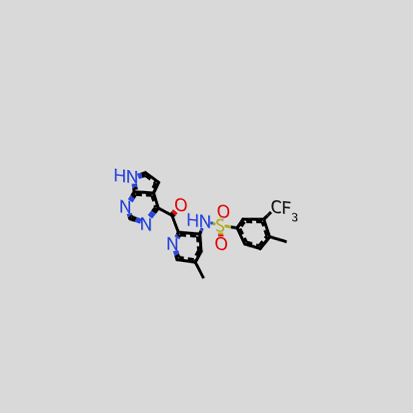 Cc1cnc(C(=O)c2ncnc3[nH]ccc23)c(NS(=O)(=O)c2ccc(C)c(C(F)(F)F)c2)c1